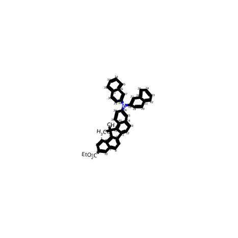 CCOC(=O)c1ccc2c3c(ccc2c1)-c1ccc2cc(N(c4ccc5ccccc5c4)c4ccc5ccccc5c4)ccc2c1C3(C)C